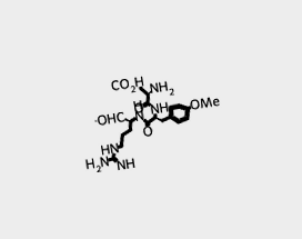 COc1ccc(C[C@H](NC(=O)[C@@H](N)CC(=O)O)C(=O)N[C@H]([C]=O)CCCNC(=N)N)cc1